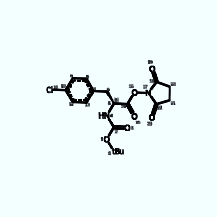 CC(C)(C)OC(=O)N[C@@H](Cc1ccc(Cl)cc1)C(=O)ON1C(=O)CCC1=O